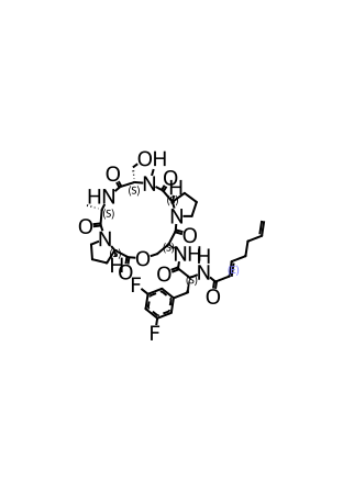 C=CCC/C=C/C(=O)N[C@@H](Cc1cc(F)cc(F)c1)C(=O)N[C@H]1COC(=O)[C@@H]2CCCN2C(=O)[C@H](C)NC(=O)[C@H](CO)N(C)C(=O)[C@@H]2CCCN2C1=O